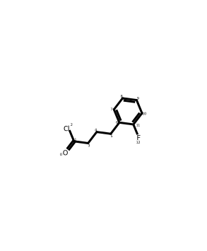 O=C(Cl)CCCc1ccccc1F